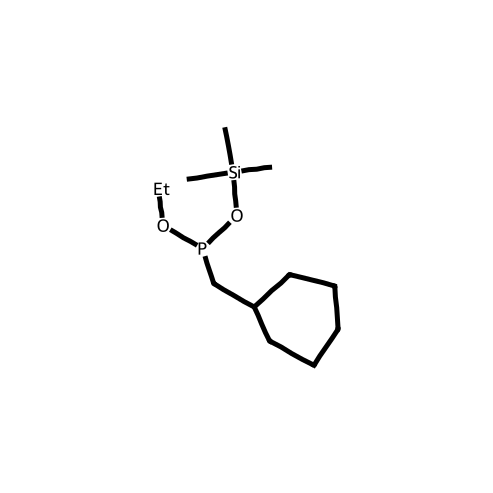 CCOP(CC1CCCCC1)O[Si](C)(C)C